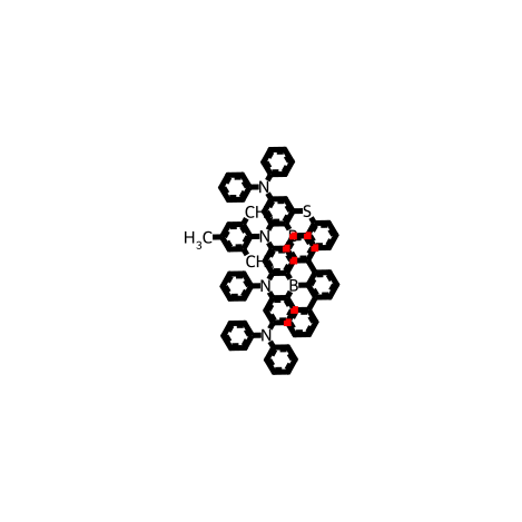 Cc1cc(C)c(N2c3cc4c(cc3B3c5ccccc5Sc5cc(N(c6ccccc6)c6ccccc6)cc2c53)B(c2c(-c3ccccc3)cccc2-c2ccccc2)c2ccc(N(c3ccccc3)c3ccccc3)cc2N4c2ccccc2)c(C)c1